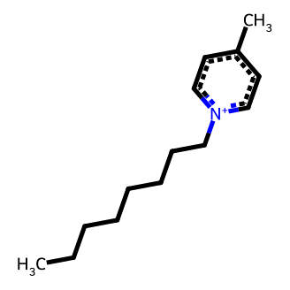 CCCCCCCC[n+]1ccc(C)cc1